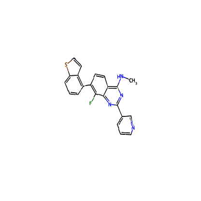 CNc1nc(-c2cccnc2)nc2c(F)c(-c3cccc4sccc34)ccc12